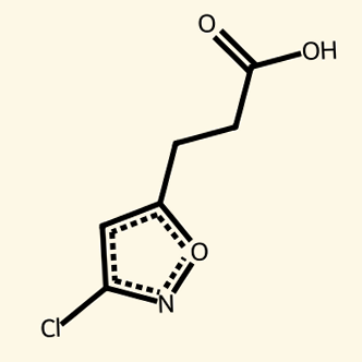 O=C(O)CCc1cc(Cl)no1